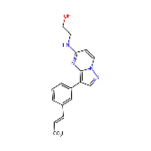 O=C(O)/C=C/c1cccc(-c2cnn3ccc(NCCO)nc23)c1